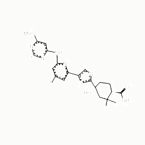 COc1cc(Nc2cc(C)cc(-c3cnc([C@@]4(O)CC[C@@H](C(N)=O)C(C)(C)C4)s3)n2)ncn1